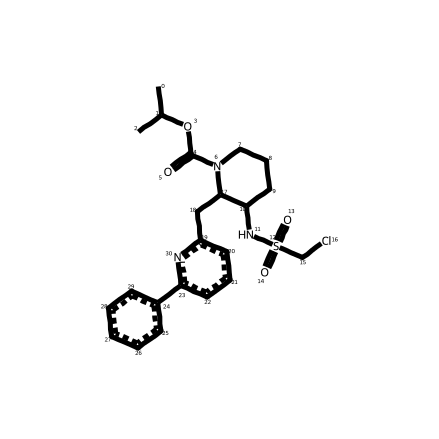 CC(C)OC(=O)N1CCCC(NS(=O)(=O)CCl)C1Cc1cccc(-c2ccccc2)n1